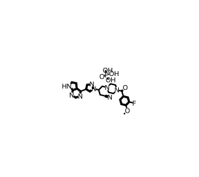 COc1ccc(C(=O)N2CCN(CC(CC#N)n3cc(-c4ncnc5[nH]ccc45)cn3)CC2)cc1F.O=P(O)(O)O